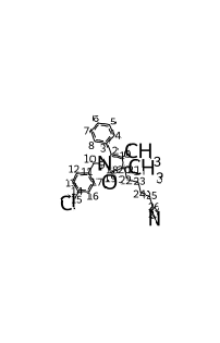 CC1=C(c2ccccc2)N(Cc2ccc(Cl)cc2)C(=O)C1(C)CCCCC#N